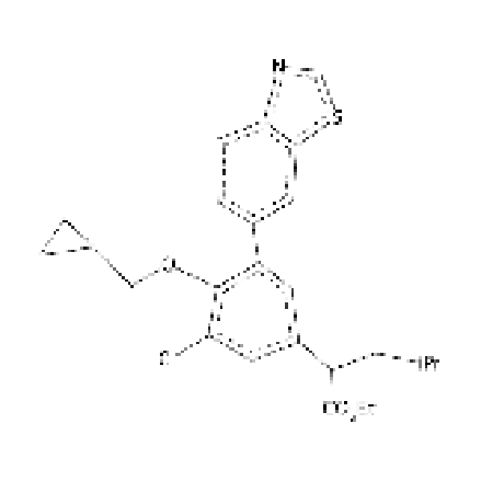 CCOC(=O)C(CC(C)C)c1cc(Cl)c(OCC2CC2)c(-c2ccc3ncsc3c2)c1